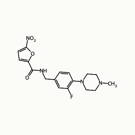 CN1CCN(c2ccc(CNC(=O)c3ccc([N+](=O)[O-])o3)cc2F)CC1